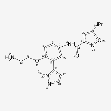 CC(C)c1cc(C(=O)Nc2ccc(OCCN)c(-c3ccnn3C)c2)no1